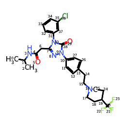 CC(C)NC(=O)Cc1nn(-c2ccc(CCN3CCC(C(F)(F)F)CC3)cc2)c(=O)n1-c1cccc(Cl)c1